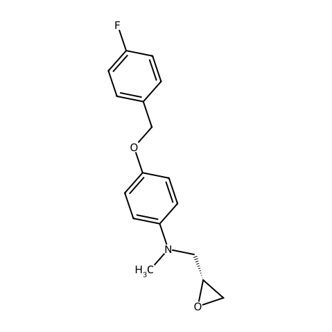 CN(C[C@@H]1CO1)c1ccc(OCc2ccc(F)cc2)cc1